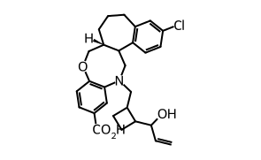 C=CC(O)C1CCC1CN1CC2c3ccc(Cl)cc3CCC[C@H]2COc2ccc(C(=O)O)cc21